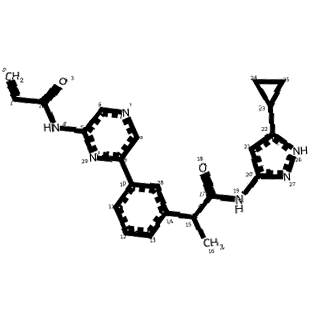 C=CC(=O)Nc1cncc(-c2cccc(C(C)C(=O)Nc3cc(C4CC4)[nH]n3)c2)n1